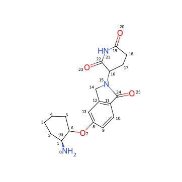 N[C@H]1CCCCC1Oc1ccc2c(c1)CN(C1CCC(=O)NC1=O)C2=O